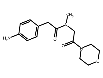 CN(CC(=O)N1CCOCC1)C(=O)Cc1ccc(N)cc1